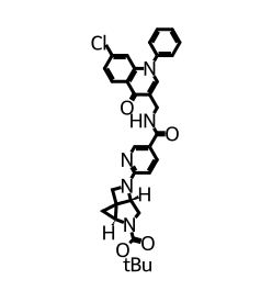 CC(C)(C)OC(=O)N1C[C@H]2N(c3ccc(C(=O)NCc4cn(-c5ccccc5)c5cc(Cl)ccc5c4=O)cn3)CC23C[C@H]13